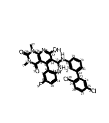 Cn1c(=O)c2c(-c3cc(F)ccc3Br)c(C(N)Nc3cccc(-c4cc(Cl)ccc4Cl)c3)c(O)nc2n(C)c1=O